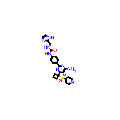 Nc1cc(C2(S(=O)(=O)c3ccncc3)CCC2)nc(-c2ccc(NC(=O)NCc3ncc[nH]3)cc2)n1